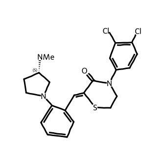 CN[C@H]1CCN(c2ccccc2C=C2SCCN(c3ccc(Cl)c(Cl)c3)C2=O)C1